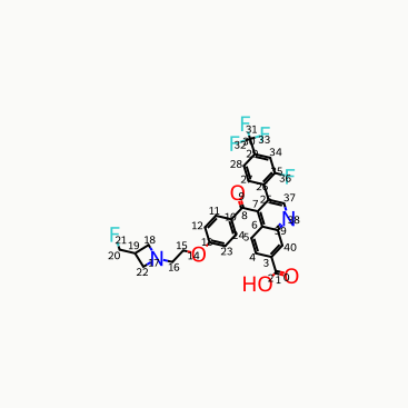 O=C(O)c1ccc2c(C(=O)c3ccc(OCCN4CC(CF)C4)cc3)c(-c3ccc(C(F)(F)F)cc3F)cnc2c1